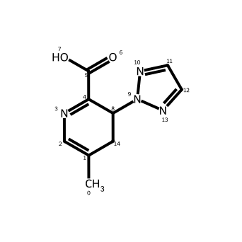 CC1=CN=C(C(=O)O)C(n2nccn2)C1